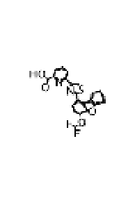 O=C(O)c1cccc(-c2csc(-c3ccc(OC(F)F)c4oc5ccccc5c34)n2)n1